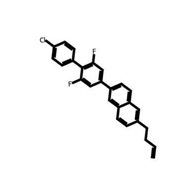 C=CCCc1ccc2cc(-c3cc(F)c(-c4ccc(Cl)cc4)c(F)c3)ccc2c1